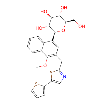 COc1c(Cc2ncc(-c3cccs3)s2)cc([C@@H]2O[C@H](CO)[C@@H](O)[C@H](O)[C@H]2O)c2ccccc12